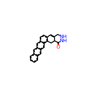 O=C1NNCC2=Cc3ccc4cc5cc6ccccc6cc5cc4c3CC12